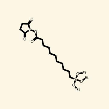 CCO[Si](CCCCCCCCCCC(=O)ON1C(=O)CCC1=O)(OCC)OCC